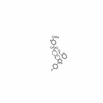 COc1ccc(S(=O)(=O)N2CCC3=Cc4c(cnn4-c4ccc(F)cc4)C[C@]3(C(=O)c3ccccn3)C2)cn1